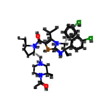 CC[C@@H]1CC[C@@H](CN2CCN(C(C)=O)[C@H](C)C2)N1C(=O)C1=C(C(C)C)N2C(=N[C@@](C)(c3ccc(Cl)cc3)[C@H]2c2ccc(Cl)cc2)S1